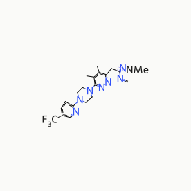 C=N/C(Cc1nnc(N2CCN(c3ccc(C(F)(F)F)cn3)CC2)c(C)c1C)=N\NC